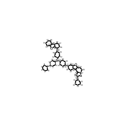 C1=CC(c2ccccc2)CC=C1N(c1ccc(-c2ccc3c(c2)oc2ccc4sc(-c5ccccc5)nc4c23)cc1)c1ccc(-c2cccc3c2oc2ccccc23)cc1